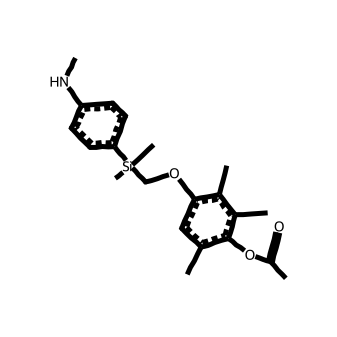 CNc1ccc([Si](C)(C)COc2cc(C)c(OC(C)=O)c(C)c2C)cc1